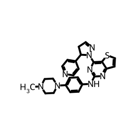 CN1CCN(c2ccc(Nc3nc(N4N=CCC4c4ccncc4)c4sccc4n3)cc2)CC1